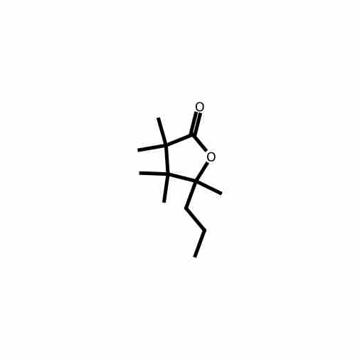 CCCC1(C)OC(=O)C(C)(C)C1(C)C